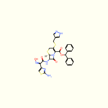 Nc1nc(/C(=N/O)C(=O)N[C@@H]2C(=O)N3C(C(=O)OC(c4ccccc4)c4ccccc4)=C(SCc4cn[nH]c4)CS[C@H]23)cs1